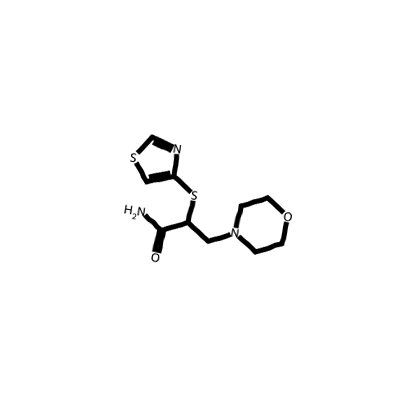 NC(=O)C(CN1CCOCC1)Sc1cscn1